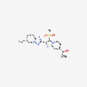 CCS(=O)(=O)c1c(-c2nc3ccc(C(F)(F)F)cn3n2)nc2cc(C(=O)OC)ccn12